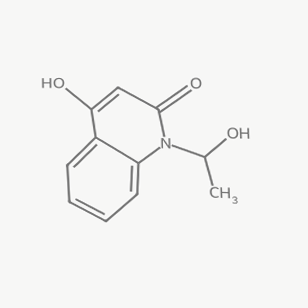 CC(O)n1c(=O)cc(O)c2ccccc21